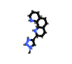 Cn1cc(-c2ccc3ccc4cccnc4c3n2)nn1